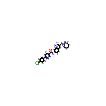 O=C(Nc1ccc2cc(CN3CCCCCC3)cnc2c1)c1ccc(-c2ccc(Cl)cc2)nc1